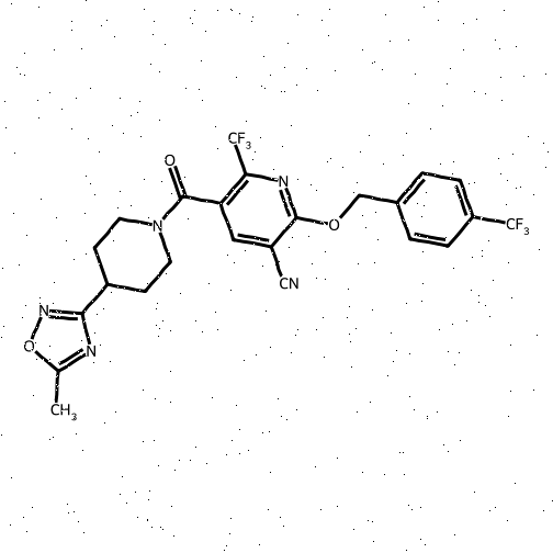 Cc1nc(C2CCN(C(=O)c3cc(C#N)c(OCc4ccc(C(F)(F)F)cc4)nc3C(F)(F)F)CC2)no1